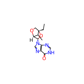 CC[C@]12CO[C@@H](C1C)[C@H](n1cnc3c(=O)[nH]cnc31)O2